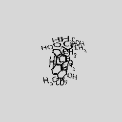 CC(C)(O)/C=C/C(=O)[C@](C)(O)[C@H]1[C@H](O)C[C@@]2(C)[C@@H]3CC=C4[C@@H](C[C@H](O)C(=O)C4(C)C)[C@]3(C)C(=O)C[C@]12C